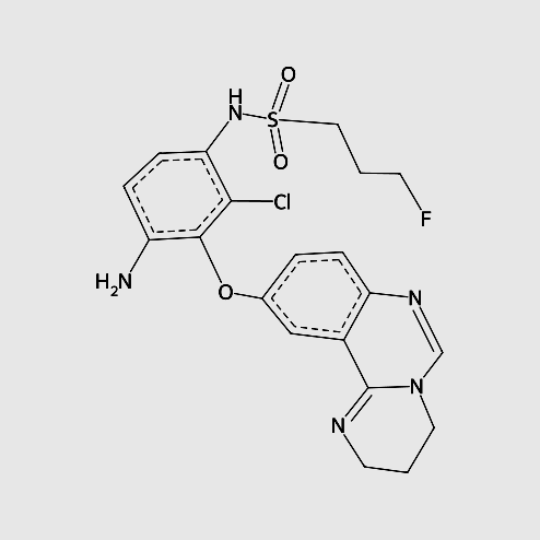 Nc1ccc(NS(=O)(=O)CCCF)c(Cl)c1Oc1ccc2c(c1)C1=NCCCN1C=N2